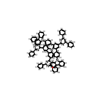 c1ccc(-c2cc(-c3ccccc3)nc(-c3cc(-c4ccc(-n5c6ccccc6c6ccccc65)cc4)c(-n4c5ccc(-c6nc(-c7ccccc7)nc(-c7ccccc7)n6)cc5c5cc(-c6nc(-c7ccccc7)nc(-c7ccccc7)n6)ccc54)c(-c4ccc(-n5c6ccccc6c6ccccc65)cc4)c3)n2)cc1